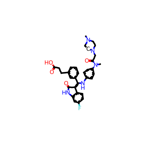 CN1CCN(CC(=O)N(C)c2ccc(NC(=C3C(=O)Nc4cc(F)ccc43)c3cccc(CCC(=O)O)c3)cc2)CC1